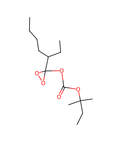 CCCCC(CC)C1(OC(=O)OC(C)(C)CC)OO1